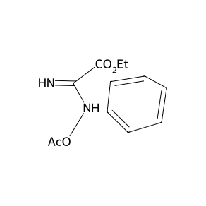 CCOC(=O)C(=N)NOC(C)=O.c1ccccc1